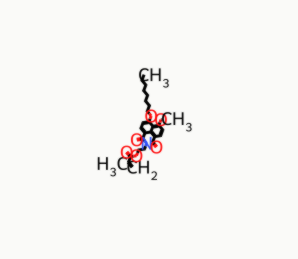 C=C(C)C(=O)OCCN1C(=O)c2ccc(OC)c3c(OCCCCCCCC)ccc(c23)C1=O